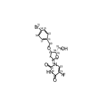 O=c1[nH]c(=O)n([C@@H]2CC(OCc3ccc(Br)cc3)[C@H](CO)O2)cc1F